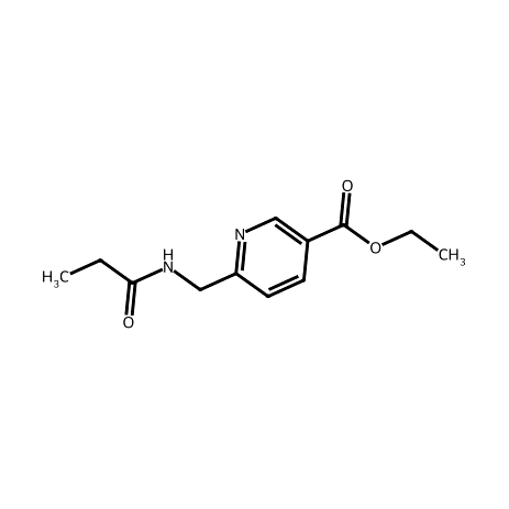 CCOC(=O)c1ccc(CNC(=O)CC)nc1